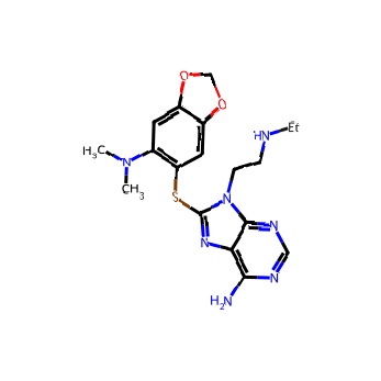 CCNCCn1c(Sc2cc3c(cc2N(C)C)OCO3)nc2c(N)ncnc21